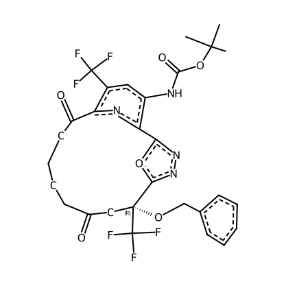 CC(C)(C)OC(=O)Nc1cc(C(F)(F)F)c2nc1-c1nnc(o1)[C@@](OCc1ccccc1)(C(F)(F)F)CC(=O)CCCCC2=O